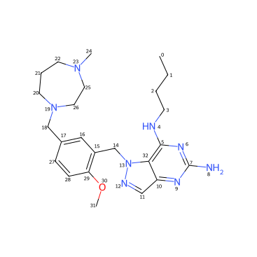 CCCCNc1nc(N)nc2cnn(Cc3cc(CN4CCCN(C)CC4)ccc3OC)c12